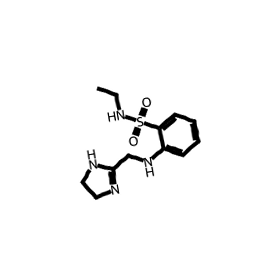 CCNS(=O)(=O)c1ccccc1NCC1=NCCN1